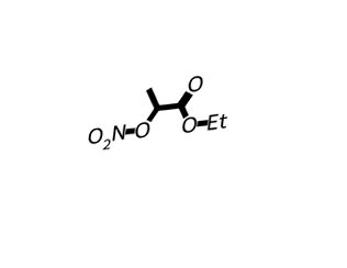 CCOC(=O)C(C)O[N+](=O)[O-]